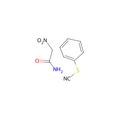 N#CSc1ccccc1.NC(=O)C[N+](=O)[O-]